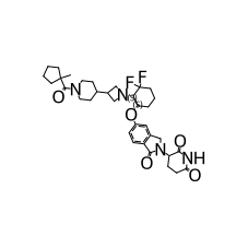 CC1(C(=O)N2CCC(C3CN([C@H]4[C@@H](Oc5ccc6c(c5)CN(C5CCC(=O)NC5=O)C6=O)CCCC4(F)F)C3)CC2)CCCC1